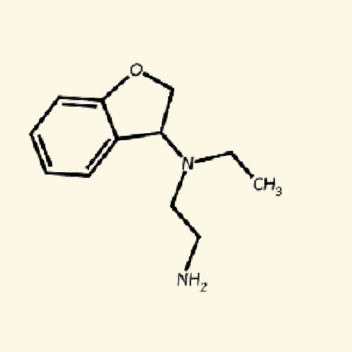 CCN(CCN)C1COc2ccccc21